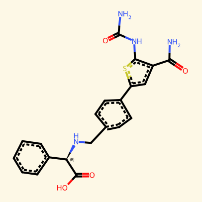 NC(=O)Nc1sc(-c2ccc(CN[C@@H](C(=O)O)c3ccccc3)cc2)cc1C(N)=O